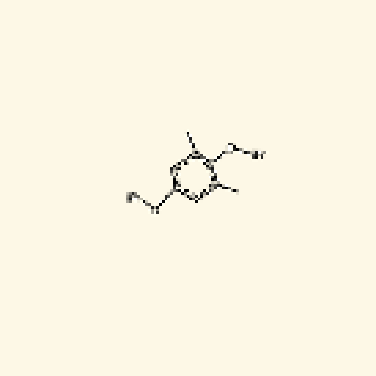 Cc1cc(OC(C)C)cc(C)c1OC(C)C